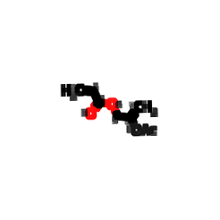 C=CC(=O)OCC(=C)OC(C)=O